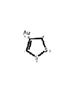 C1=CSSC1.[Au]